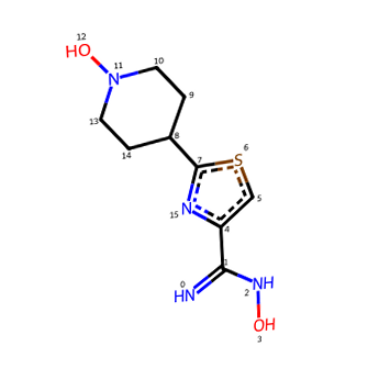 N=C(NO)c1csc(C2CCN(O)CC2)n1